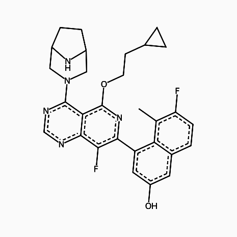 Cc1c(F)ccc2cc(O)cc(-c3nc(OCCC4CC4)c4c(N5CC6CCC(C5)N6)ncnc4c3F)c12